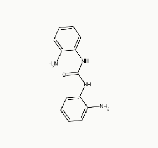 Nc1ccccc1NC(=O)Nc1ccccc1N